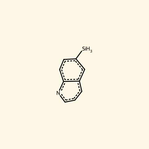 [SiH3]c1ccc2ncccc2c1